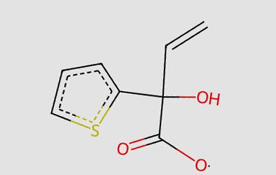 C=CC(O)(C([O])=O)c1cccs1